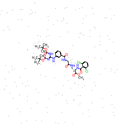 COC(=O)[C@H](CNC(=O)CNC(=O)c1cccc(N/C(=N/C(=O)OC(C)(C)C)NC(=O)OC(C)(C)C)c1)NC(=O)c1c(Cl)cccc1Cl